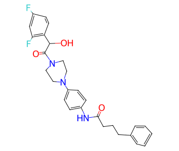 O=C(CCCc1ccccc1)Nc1ccc(N2CCN(C(=O)C(O)c3ccc(F)cc3F)CC2)cc1